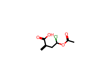 C=C(CC(Cl)OC(C)=O)C(=O)O